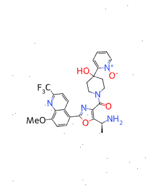 COc1ccc(-c2nc(C(=O)N3CCC(O)(c4cccc[n+]4[O-])CC3)c([C@H](C)N)o2)c2ccc(C(F)(F)F)nc12